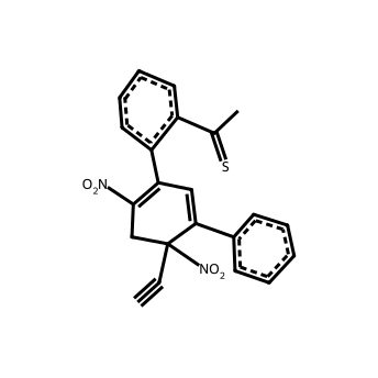 C#CC1([N+](=O)[O-])CC([N+](=O)[O-])=C(c2ccccc2C(C)=S)C=C1c1ccccc1